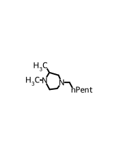 [CH2]CCCCCN1CCN(C)C(C)C1